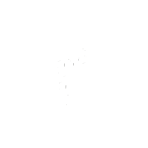 COCCN(C)c1cccc(C(=O)Nc2ccc(C)c(NC(=O)c3cccc(CN4CCN(C)CC4)c3)c2)c1